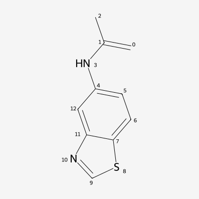 C=C(C)Nc1ccc2scnc2c1